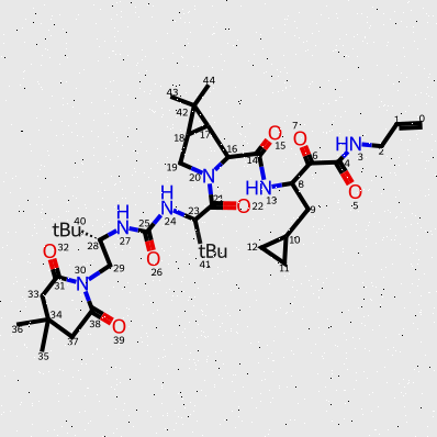 C=CCNC(=O)C(=O)C(CC1CC1)NC(=O)C1C2C(CN1C(=O)C(NC(=O)N[C@H](CN1C(=O)CC(C)(C)CC1=O)C(C)(C)C)C(C)(C)C)C2(C)C